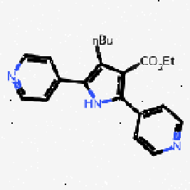 CCCCc1c(-c2ccncc2)[nH]c(-c2ccncc2)c1C(=O)OCC